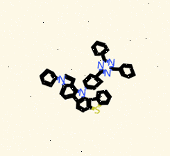 c1ccc(-c2nc(-c3ccccc3)nc(-c3ccc(-n4c5c(ccc6c5ccn6-c5ccccc5)c5ccc6sc7ccccc7c6c54)cc3)n2)cc1